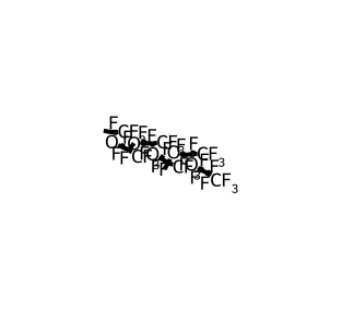 CC(F)(OC(F)(F)C(F)(OC(F)(F)C(F)(OC(F)(F)C(F)(OC(F)(F)C(F)(OC(F)(F)C(F)(F)C(F)(F)F)C(F)(F)F)C(F)(F)F)C(F)(F)F)C(F)(F)F)C(F)(F)F